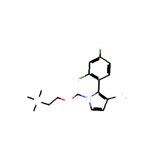 C[Si](C)(C)CCOCn1ccc(C#N)c1-c1ccc(Cl)cc1Cl